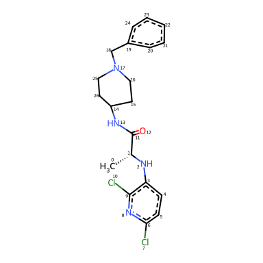 C[C@@H](Nc1ccc(Cl)nc1Cl)C(=O)NC1CCN(Cc2ccccc2)CC1